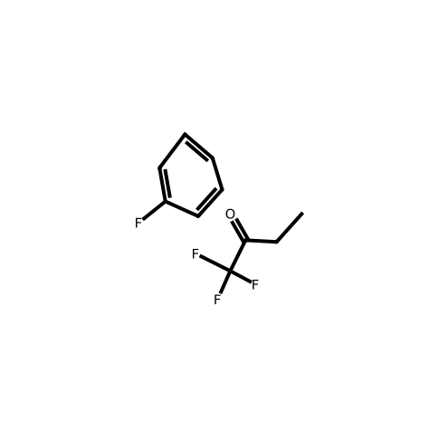 CCC(=O)C(F)(F)F.Fc1ccccc1